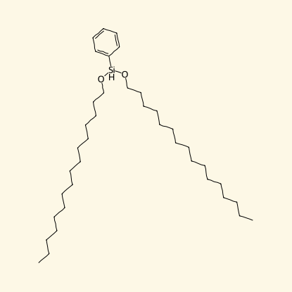 CCCCCCCCCCCCCCCCO[SiH](OCCCCCCCCCCCCCCCC)c1ccccc1